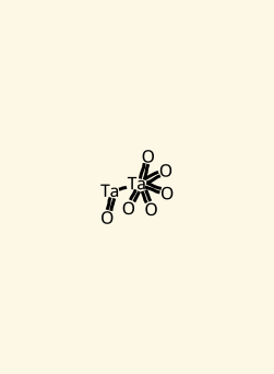 [O]=[Ta][Ta](=[O])(=[O])(=[O])(=[O])=[O]